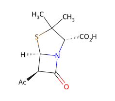 CC(=O)[C@@H]1C(=O)N2[C@@H]1SC(C)(C)[C@@H]2C(=O)O